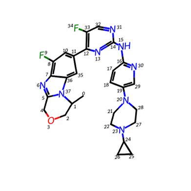 CC1COCc2nc3c(F)cc(-c4nc(Nc5ccc(N6CCN(C7CC7)CC6)cn5)ncc4F)cc3n21